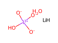 O.[LiH].[O-][I+3]([O-])([O-])O